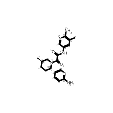 Cc1cc(NC(=O)C(=O)N2C[C@H](C)CC[C@H]2c2ccc(N)nc2)cnc1N